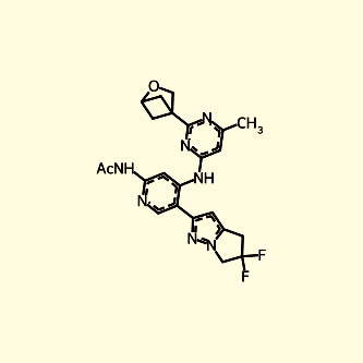 CC(=O)Nc1cc(Nc2cc(C)nc(C34COC(C3)C4)n2)c(-c2cc3n(n2)CC(F)(F)C3)cn1